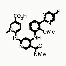 CNC(=O)c1cnc(NC2=CC=C(C(=O)O)CN2C)cc1Nc1cccc(-c2ncc(F)cn2)c1OC